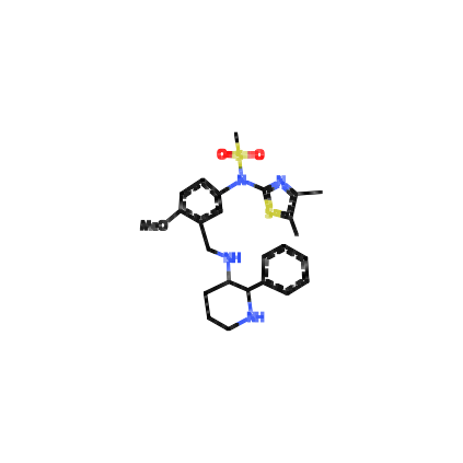 COc1ccc(N(c2nc(C)c(C)s2)S(C)(=O)=O)cc1CNC1CCCNC1c1ccccc1